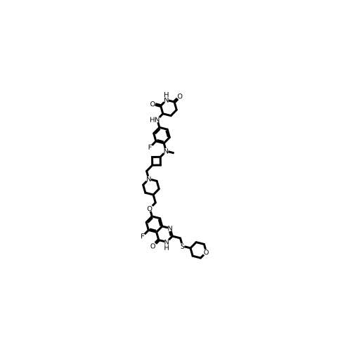 CN(c1ccc(NC2CCC(=O)NC2=O)cc1F)C1CC(CN2CCC(COc3cc(F)c4c(=O)[nH]c(CSC5CCOCC5)nc4c3)CC2)C1